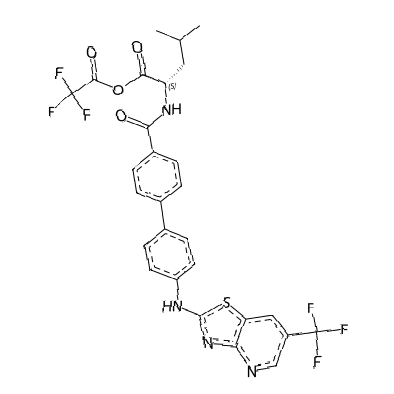 CC(C)C[C@H](NC(=O)c1ccc(-c2ccc(Nc3nc4ncc(C(F)(F)F)cc4s3)cc2)cc1)C(=O)OC(=O)C(F)(F)F